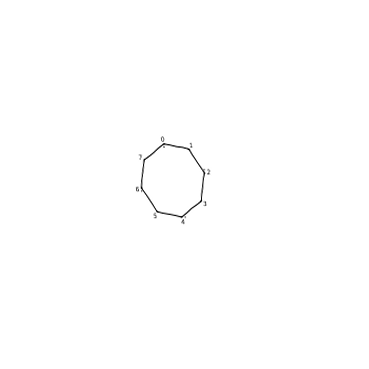 [CH]1C[CH]C[CH]C[CH]C1